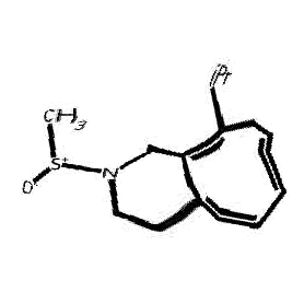 CC(C)c1cccc2c1CN([S+](C)[O-])CC2